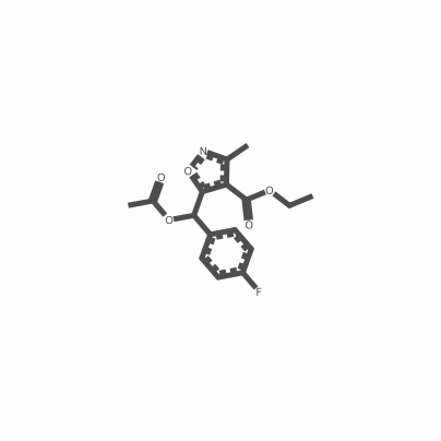 CCOC(=O)c1c(C)noc1C(OC(C)=O)c1ccc(F)cc1